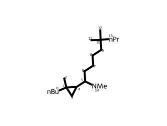 CCCCC1(C)CC1C(CCCCC(C)(C)CCC)NC